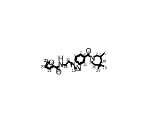 CC1CN(C(=O)c2ccc3c(c2)ncn3CCNC(=O)c2ccco2)CCC(C)(C)C1